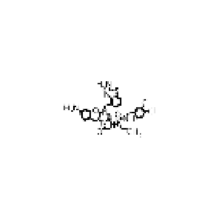 C=CCN(C(=O)NCc1ccc(Cl)c(Cl)c1)N1CC(=O)N2[C@@H](Cc3ccc(N)cc3)C(=O)N(Cc3cccc4sc(N)nc34)C[C@@H]21